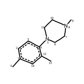 Cc1ccc(N2CCN(C)CC2)c(C)c1